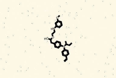 C=Cc1ccc(N(c2ccc(CC(O)OCCNc3cccc(OC)c3)cc2)C(C)CC)cc1